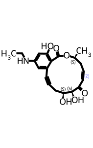 CCNc1cc(O)c2c(c1)C#CC[C@H](O)[C@H](O)C(=O)/C=C\C[C@H](C)OC2=O